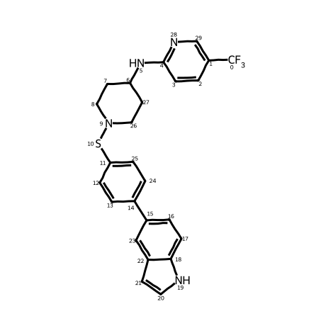 FC(F)(F)c1ccc(NC2CCN(Sc3ccc(-c4ccc5[nH]ccc5c4)cc3)CC2)nc1